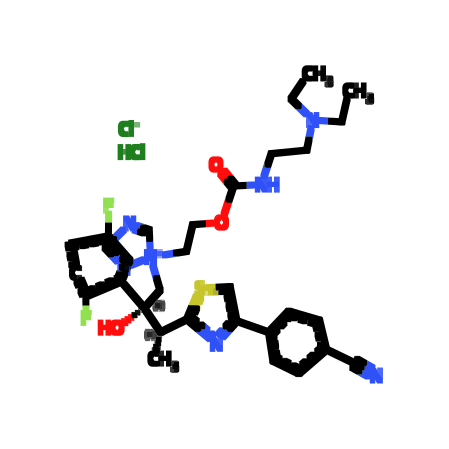 CCN(CC)CCNC(=O)OCC[N+]1(C[C@](O)(c2cc(F)ccc2F)[C@@H](C)c2nc(-c3ccc(C#N)cc3)cs2)C=NC=N1.Cl.[Cl-]